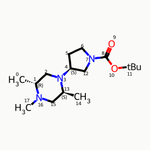 C[C@@H]1CN([C@H]2CCN(C(=O)OC(C)(C)C)C2)[C@@H](C)CN1C